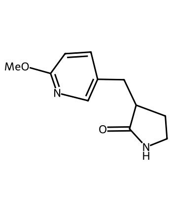 COc1ccc(CC2CCNC2=O)cn1